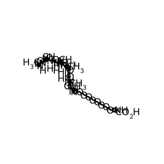 Cn1cc(NC(=O)c2nc(NC(=O)CCNC(=O)c3cc(NC(=O)c4nccn4C)cn3C)cn2C)cc1C(=O)NCCC(=O)Nc1cn(C)c(C(=O)NCc2cn(CCOCCOCCOCCOCCOCCOCCOCCOc3ccc(NC(=O)O)cc3)nn2)n1